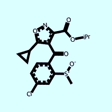 CC(C)OC(=O)c1noc(C2CC2)c1C(=O)c1ccc(Cl)cc1[S+](C)[O-]